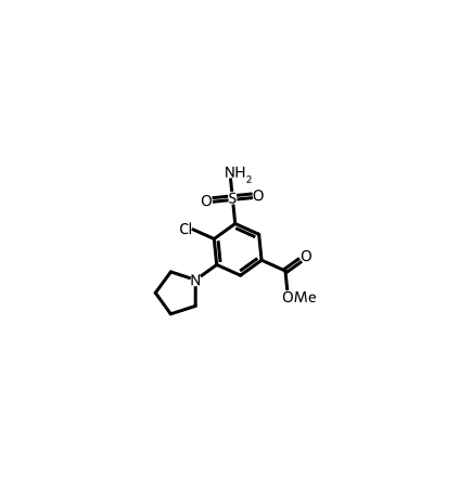 COC(=O)c1cc(N2CCCC2)c(Cl)c(S(N)(=O)=O)c1